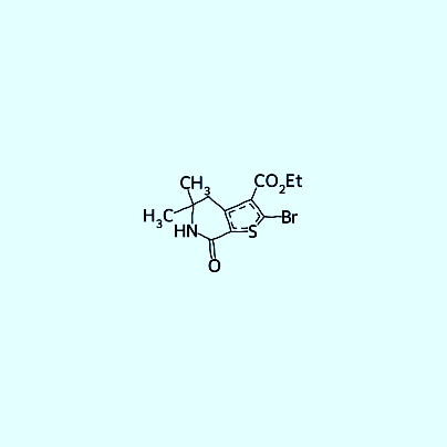 CCOC(=O)c1c(Br)sc2c1CC(C)(C)NC2=O